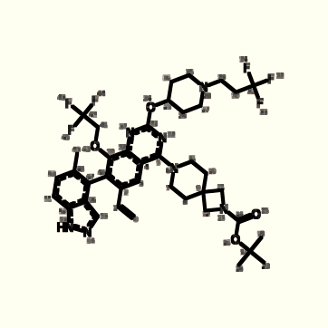 C=Cc1cc2c(N3CCC4(CC3)CN(C(=O)OC(C)(C)C)C4)nc(OC3CCN(CCC(F)(F)F)CC3)nc2c(OCC(F)(F)F)c1-c1c(C)ccc2[nH]ncc12